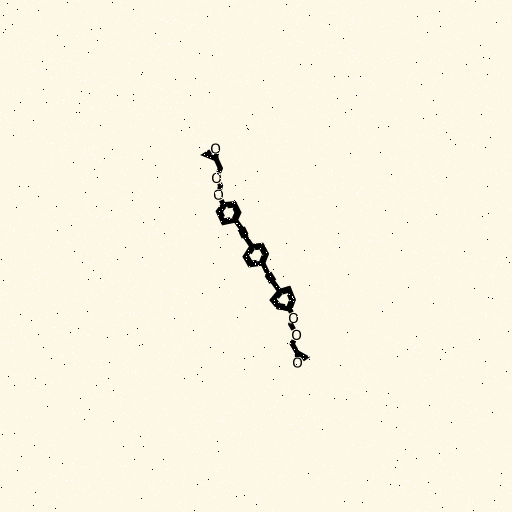 C(#Cc1ccc(OCOCC2CO2)cc1)c1ccc(C#Cc2ccc(OCOCC3CO3)cc2)cc1